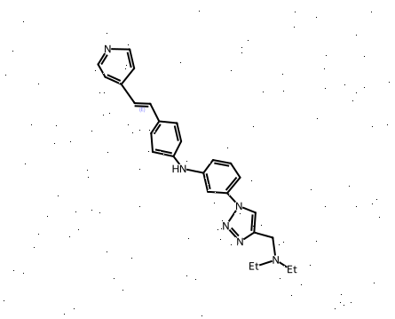 CCN(CC)Cc1cn(-c2cccc(Nc3ccc(/C=C/c4ccncc4)cc3)c2)nn1